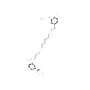 NC(=O)c1cccc(NCCCOCCCCCCNCC(O)c2ccc(O)c(CO)c2)c1